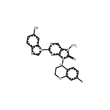 Cn1c(=O)n([C@@H]2CCOc3cc(F)ccc32)c2nc(-n3cnc4ccc(C#N)cc43)ncc21